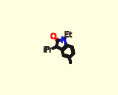 CCN1C(=O)C(C(C)C)c2cc(C)ccc21